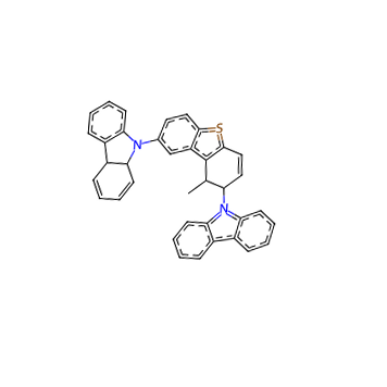 CC1c2c(sc3ccc(N4c5ccccc5C5C=CC=CC54)cc23)C=CC1n1c2ccccc2c2ccccc21